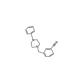 N#Cc1cccc(CN2CCN(c3cc[c]cc3)CC2)c1